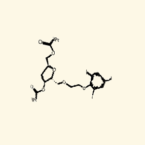 CC(C)C(=O)OC[C@@H]1C[C@H](OC(=O)C(C)C)[C@@H](COCCOc2c(I)cc(I)cc2I)O1